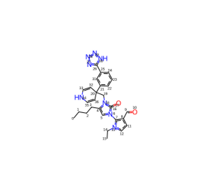 CCCCc1cn(-c2c(C=O)ccn2CC)c(=O)n1CC1(c2cccc(-c3nnn[nH]3)c2)C=CNC=C1